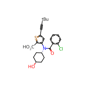 CC(C)(C)C#Cc1cc(N(C(=O)c2ccccc2Cl)[C@H]2CC[C@H](O)CC2)c(C(=O)O)s1